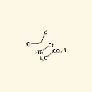 CC(=O)O.CCO.ClCCl